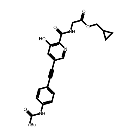 CCCCC(=O)Nc1ccc(C#Cc2cnc(C(=O)NCC(=O)OCC3CC3)c(O)c2)cc1